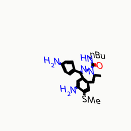 CCCCNC(=O)N1N=C(c2ccc(N)cc2)c2cc(N)c(SC)cc2CC1C